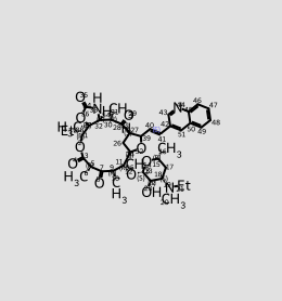 CC[C@H]1OC(=O)[C@H](C)C(=O)[C@H](C)[C@@H](O[C@@H]2O[C@H](C)C[C@H](N(C)CC)[C@H]2O)[C@@]2(C)C[C@H](C(=O)[C@H](C)[C@H]3NC(=O)O[C@@]31C)C(/C=C/c1cnc3ccccc3c1)O2